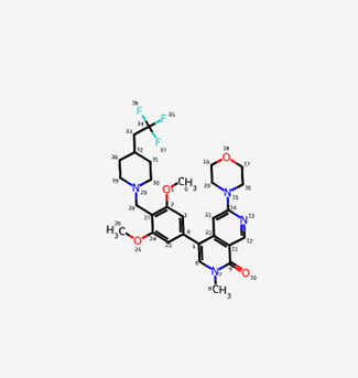 COc1cc(-c2cn(C)c(=O)c3cnc(N4CCOCC4)cc23)cc(OC)c1CN1CCC(CC(F)(F)F)CC1